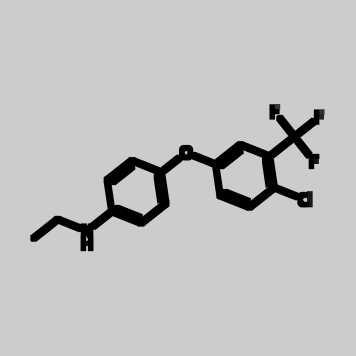 CCNc1ccc(Oc2ccc(Cl)c(C(F)(F)F)c2)cc1